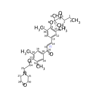 CCCC(=O)C(C)(C)Oc1c(C)cc(/C=C/C(=O)c2cc(C)c(OCCN3CCOCC3)c(C)c2)cc1C